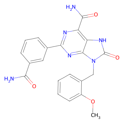 COc1ccccc1Cn1c(=O)[nH]c2c(C(N)=O)nc(-c3cccc(C(N)=O)c3)nc21